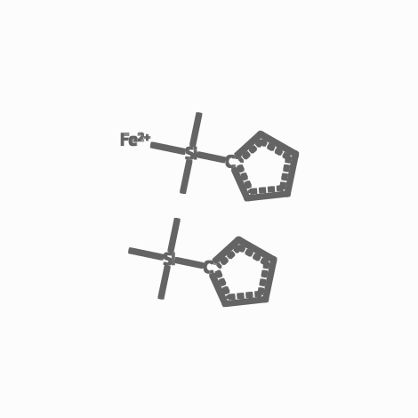 C[Si](C)(C)[c-]1cccc1.C[Si](C)(C)[c-]1cccc1.[Fe+2]